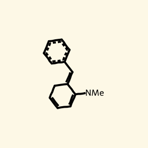 CNC1=CC=CCC1=Cc1ccccc1